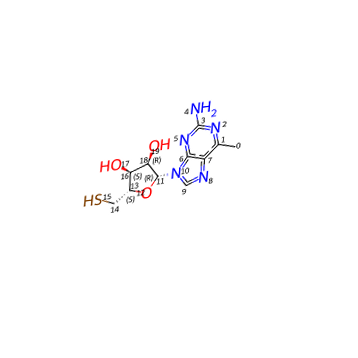 Cc1nc(N)nc2c1ncn2[C@@H]1O[C@H](CS)[C@@H](O)[C@H]1O